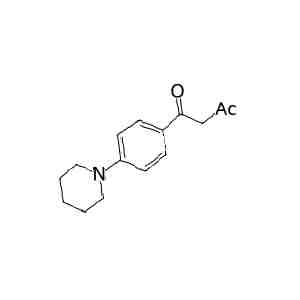 CC(=O)CC(=O)c1ccc(N2CCCCC2)cc1